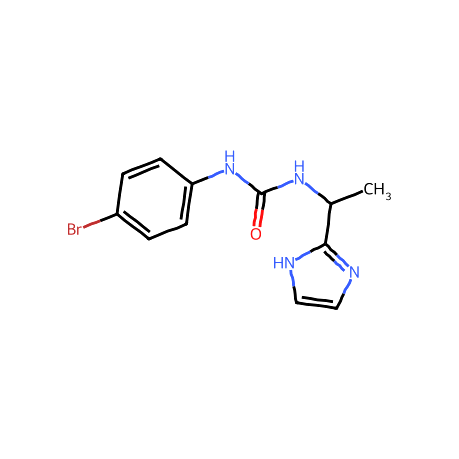 CC(NC(=O)Nc1ccc(Br)cc1)c1ncc[nH]1